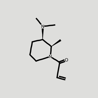 C=CC(=O)N1CCC[C@@H](N(C)C)[C@H]1C